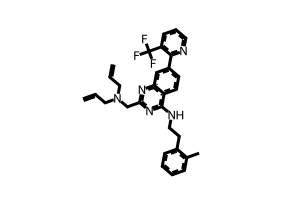 C=CCN(CC=C)Cc1nc(NCCc2ccccc2C)c2ccc(-c3ncccc3C(F)(F)F)cc2n1